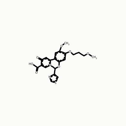 COCCCOc1cc2c(cc1OC)-c1cc(=O)c(C(=O)O)cn1C(c1cscn1)O2